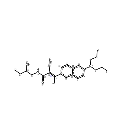 CCCN(CCC)c1ccc2cc(/C(C)=C(\C#N)C(=O)NCC(O)CC)ccc2c1